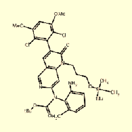 COc1cc(OC)c(Cl)c(-c2cc3cnc(N(C(=O)OC(C)(C)C)c4c(C)cccc4N)cc3n(CCCO[Si](C)(C)C(C)(C)C)c2=O)c1Cl